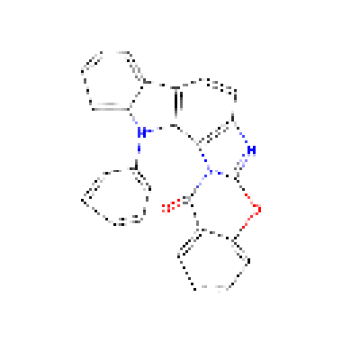 O=c1c2ccccc2oc2nc3ccc4c5ccccc5n(-c5ccccc5)c4c3n12